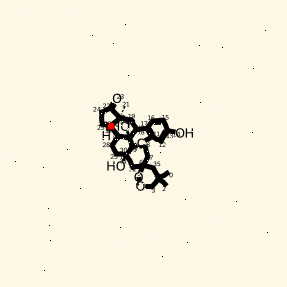 CC1(C)COOC2(CC[C@@]34Cc5cc(O)ccc5[C@H]5C[C@]6(C)C(=O)CC[C@H]6[C@H](CC[C@@]3(O)C2)[C@]54O)C1